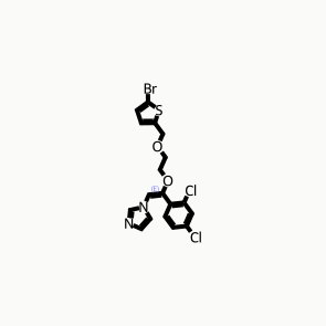 Clc1ccc(/C(=C\n2ccnc2)OCCOCc2ccc(Br)s2)c(Cl)c1